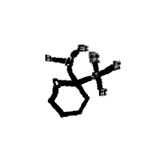 C[CH2][Al]([CH2]C)[C]1([Si](CC)(CC)CC)CCCCO1